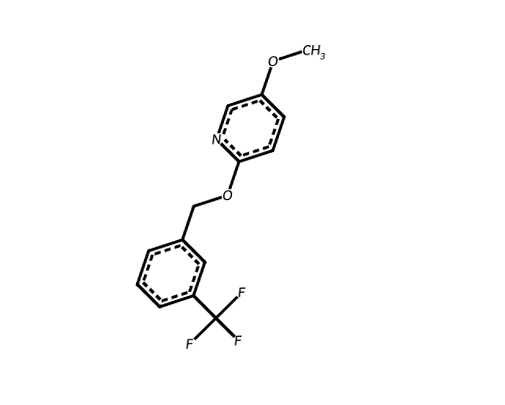 COc1ccc(OCc2cccc(C(F)(F)F)c2)nc1